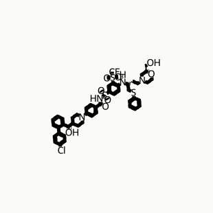 O=C(NS(=O)(=O)c1ccc(N[C@H](CCN2CCO[C@H](CO)C2)CSc2ccccc2)c(S(=O)(=O)C(F)(F)F)c1)c1ccc(N2CCC([C@H](O)c3ccccc3-c3ccc(Cl)cc3)CC2)cc1